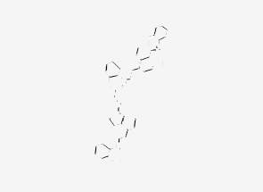 C\C=C/C(=C/C=N/c1ccccc1C(C)C)C(/C=C\C)=C/C=N/CC(C/N=C/C=C(\C=C/C)C(/C=C\C)=C/C=N/c1ccccc1C(C)C)Cc1ccccc1